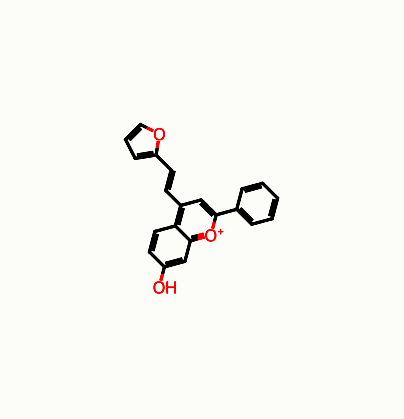 Oc1ccc2c(/C=C/c3ccco3)cc(-c3ccccc3)[o+]c2c1